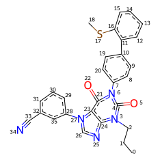 CCCn1c(=O)n(-c2ccc(-c3ccccc3SC)cc2)c(=O)c2c1ncn2-c1cccc(C#N)c1